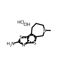 CN1CCCc2c(sc3nc(N)sc23)C1.Cl.Cl